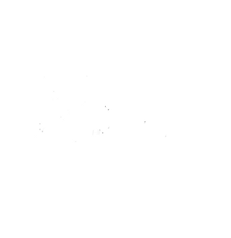 CC(C)CC(NNc1ccccc1)S(N)(=O)=O